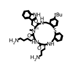 CN1C(=O)[C@H](CCCCN)NC(=O)[C@H](CCCN)NCc2ccccc2Sc2ccc(C(C)(C)C)cc2CNC(=O)[C@@H]1Cc1c[nH]c2ccccc12